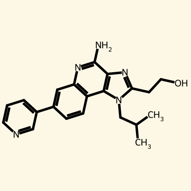 CC(C)Cn1c(CCO)nc2c(N)nc3cc(-c4cccnc4)ccc3c21